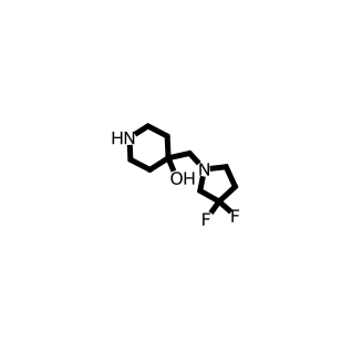 OC1(CN2CCC(F)(F)C2)CCNCC1